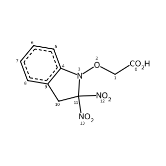 O=C(O)CON1c2ccccc2CC1([N+](=O)[O-])[N+](=O)[O-]